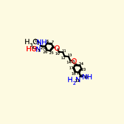 CN/C(=N\O)c1ccc(OCCCCCOc2ccc(C(=N)N)cc2)cc1